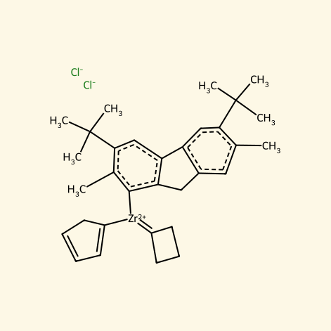 Cc1cc2c(cc1C(C)(C)C)-c1cc(C(C)(C)C)c(C)[c]([Zr+2]([C]3=CC=CC3)=[C]3CCC3)c1C2.[Cl-].[Cl-]